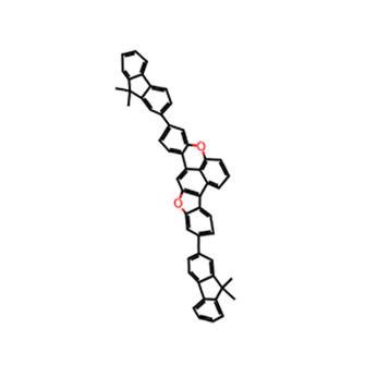 CC1(C)c2ccccc2-c2ccc(-c3ccc4c(c3)Oc3cccc5c3c-4cc3oc4cc(-c6ccc7c(c6)C(C)(C)c6ccccc6-7)ccc4c35)cc21